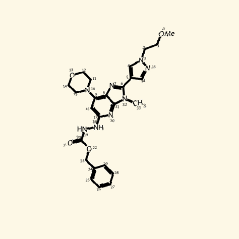 COCCn1cc(-c2nc3c(N4CCOCC4)cc(NNC(=O)OCc4ccccc4)nc3n2C)cn1